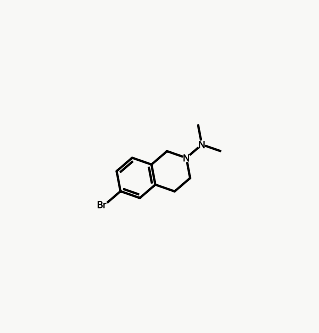 CN(C)N1CCc2cc(Br)ccc2C1